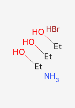 Br.CCO.CCO.CCO.N